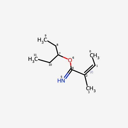 C/C=C(/C)C(=N)OC(CC)CC